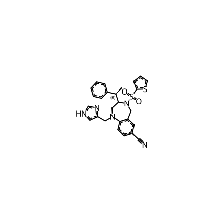 C[C@H](c1ccccc1)C1CN(Cc2c[nH]cn2)c2ccc(C#N)cc2CN1S(=O)(=O)c1cccs1